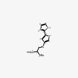 CCCCCCC(CCCC)CSc1csc(-c2nccs2)c1